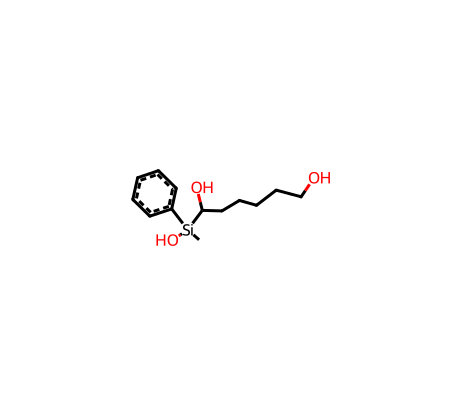 C[Si](O)(c1ccccc1)C(O)CCCCCO